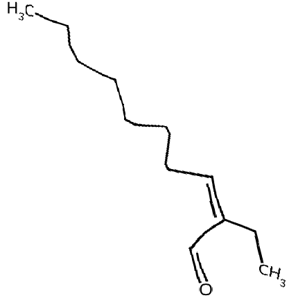 CCCCCCCC=C(C=O)CC